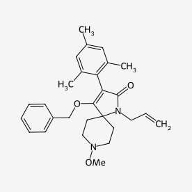 C=CCN1C(=O)C(c2c(C)cc(C)cc2C)=C(OCc2ccccc2)C12CCN(OC)CC2